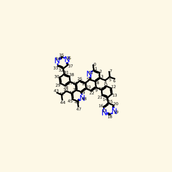 Cc1cc(CC(C)C)c2c(-c3cccc(-c4cncnc4)c3)cc3c(cc(-c4cccc(-c5cncnc5)c4)c4c(CC(C)C)cc(C)nc43)c2n1